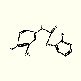 N#Cc1ccc(NC(=S)Sc2ccccc2F)cc1C(F)(F)F